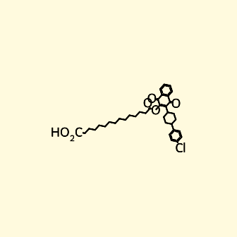 O=C(O)CCCCCCCCCCCCCC(=O)OC1=C(C2CCC(c3ccc(Cl)cc3)CC2)C(=O)c2ccccc2C1=O